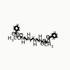 C[C@H](OC(=O)NCCNCCNCCNC(=O)O[C@@H](C)OC1OC1c1ccccc1)OC(=O)c1ccccc1